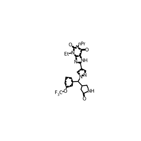 CCCn1c(=O)c2[nH]c(-c3cnn(C(c4cccc(OC(F)(F)F)c4)C4CNC(=O)C4)c3)nc2n(CC)c1=O